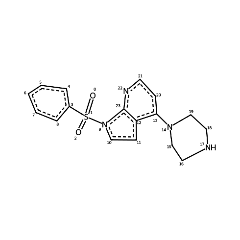 O=S(=O)(c1ccccc1)n1ccc2c(N3CCNCC3)ccnc21